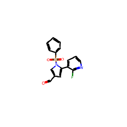 O=Cc1cc(-c2cccnc2F)n(S(=O)(=O)c2ccccc2)c1